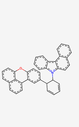 C1=CC(c2ccc3c(c2)-c2cccc4cccc(c24)O3)C(n2c3ccccc3c3c4ccccc4ccc32)C=C1